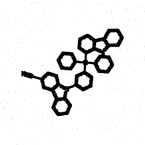 N#Cc1ccc2c(c1)c1ccccc1n2-c1cccc([Si](c2ccccc2)(c2ccccc2)c2cccc3c2sc2ccccc23)c1